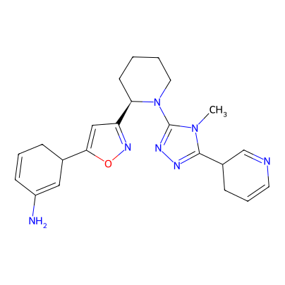 Cn1c(C2C=NC=CC2)nnc1N1CCCC[C@@H]1c1cc(C2C=C(N)C=CC2)on1